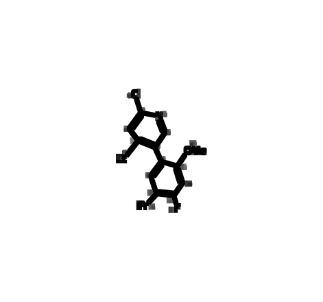 CCc1cc(Cl)ncc1-c1cc(C(C)C)c(F)cc1OC